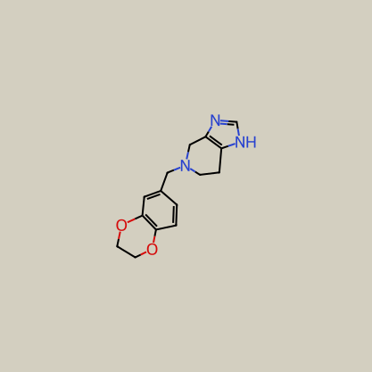 c1nc2c([nH]1)CCN(Cc1ccc3c(c1)OCCO3)C2